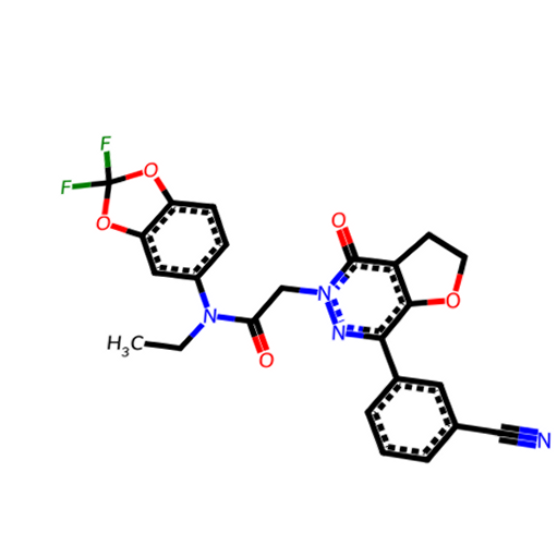 CCN(C(=O)Cn1nc(-c2cccc(C#N)c2)c2c(c1=O)CCO2)c1ccc2c(c1)OC(F)(F)O2